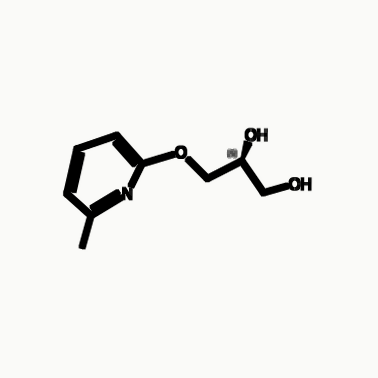 Cc1cccc(OC[C@@H](O)CO)n1